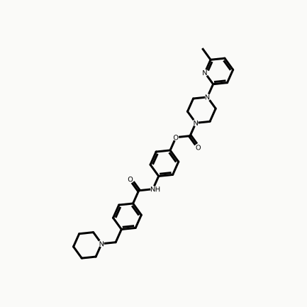 Cc1cccc(N2CCN(C(=O)Oc3ccc(NC(=O)c4ccc(CN5CCCCC5)cc4)cc3)CC2)n1